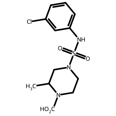 CC1CN(S(=O)(=O)Nc2cccc(Cl)c2)CCN1C(=O)O